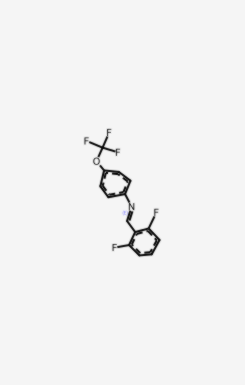 Fc1cccc(F)c1/C=N/c1ccc(OC(F)(F)F)cc1